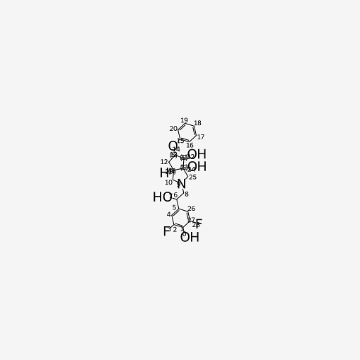 Oc1c(F)cc(C(O)CN2C[C@H]3C[C@H](Oc4ccccc4)[C@H](O)[C@@]3(O)C2)cc1F